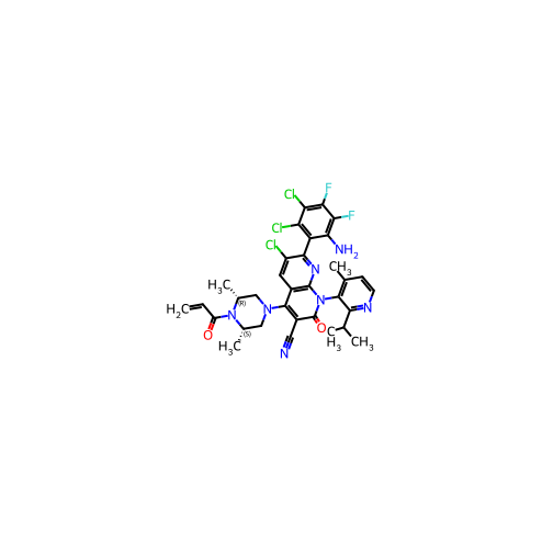 C=CC(=O)N1[C@H](C)CN(c2c(C#N)c(=O)n(-c3c(C)ccnc3C(C)C)c3nc(-c4c(N)c(F)c(F)c(Cl)c4Cl)c(Cl)cc23)C[C@@H]1C